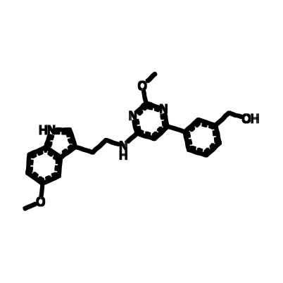 COc1ccc2[nH]cc(CCNc3cc(-c4cccc(CO)c4)nc(OC)n3)c2c1